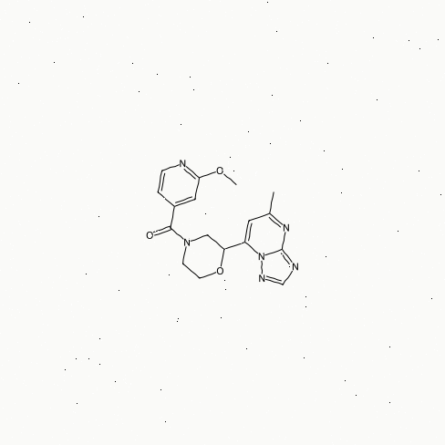 COc1cc(C(=O)N2CCOC(c3cc(C)nc4ncnn34)C2)ccn1